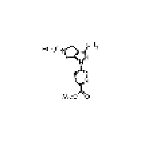 COC(=O)c1ccc(-n2nc(C)c3c2CN(C(=O)O)C3)cn1